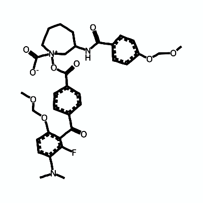 COCOc1ccc(C(=O)NC2CCCC[N+](OC(=O)c3ccc(C(=O)c4c(OCOC)ccc(N(C)C)c4F)cc3)(C(=O)[O-])C2)cc1